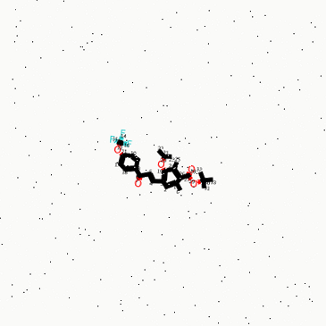 Cc1cc(C=CC(=O)c2ccc(OC(F)(F)F)cc2)c(OC(C)C)c(C)c1C(=O)OC(C)(C)C